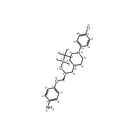 CC(C)(C)[Si](C)(C)O[C@H](COc1ccc(N)cc1)CN1CCN(c2ccc(Cl)cc2)CC1